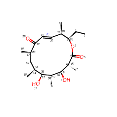 CC[C@H]1OC(=O)[C@H](C)[C@@H](O)[C@H](C)[C@@H](O)[C@@H](C)C[C@@H](C)C(=O)/C=C/[C@H]1C